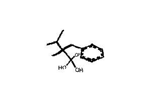 CC(C)C(C)(Cc1ccccc1)C(O)(O)O